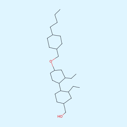 CCCCC1CCC(COC2CCC(C3CCC(CO)CC3CC)C(CC)C2)CC1